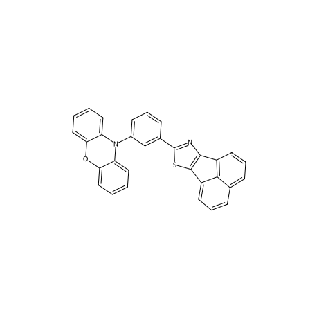 c1cc(-c2nc3c(s2)-c2cccc4cccc-3c24)cc(N2c3ccccc3Oc3ccccc32)c1